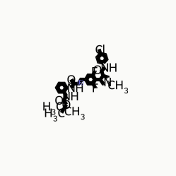 CN1CC(C(=O)Nc2ccc(Cl)cc2)C(c2c(F)cc(/C=C/C(=O)Nc3ccccc3NC(=O)OC(C)(C)C)cc2F)C1